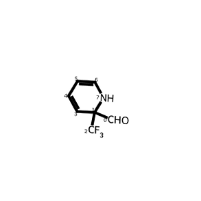 O=CC1(C(F)(F)F)C=CC=CN1